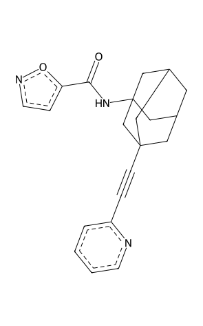 O=C(NC12CC3CC(CC(C#Cc4ccccn4)(C3)C1)C2)c1ccno1